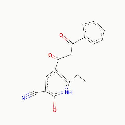 CCc1[nH]c(=O)c(C#N)cc1C(=O)CC(=O)c1ccccc1